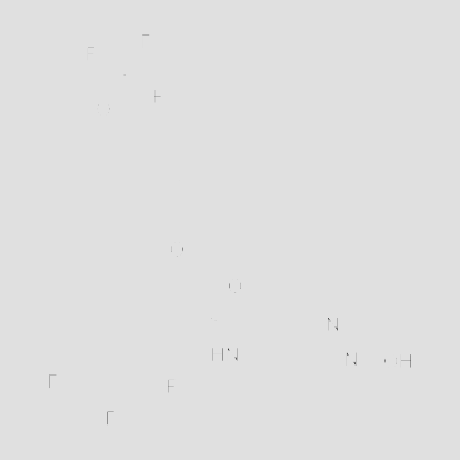 O=C(Nc1cc[n+](O)nc1)c1c(Oc2ccc(OC(F)(F)F)cc2)ccc(C(F)F)c1F